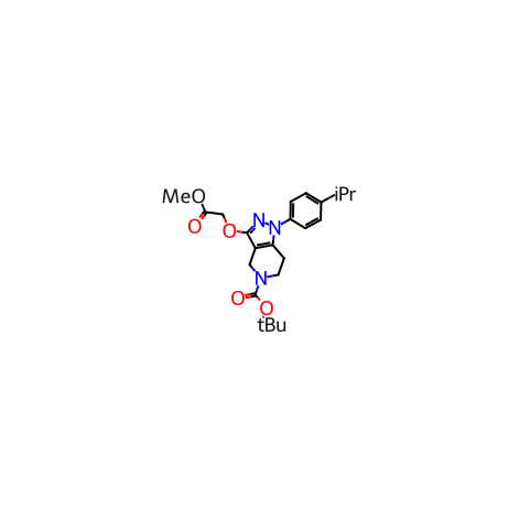 COC(=O)COc1nn(-c2ccc(C(C)C)cc2)c2c1CN(C(=O)OC(C)(C)C)CC2